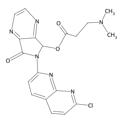 CN(C)CCC(=O)OC1c2nccnc2C(=O)N1c1ccc2ccc(Cl)nc2n1